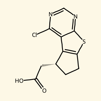 O=C(O)C[C@H]1CCc2sc3ncnc(Cl)c3c21